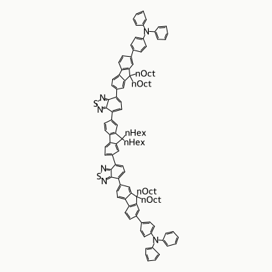 CCCCCCCCC1(CCCCCCCC)c2cc(-c3ccc(N(c4ccccc4)c4ccccc4)cc3)ccc2-c2ccc(-c3ccc(-c4ccc5c(c4)C(CCCCCC)(CCCCCC)c4cc(-c6ccc(-c7ccc8c(c7)C(CCCCCCCC)(CCCCCCCC)c7cc(-c9ccc(N(c%10ccccc%10)c%10ccccc%10)cc9)ccc7-8)c7nsnc67)ccc4-5)c4nsnc34)cc21